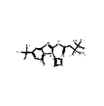 C[C@@](O)(CC(=O)Nc1nc2cc(C(F)(F)F)cc(F)c2n1C1=CC=C1)C(F)(F)F